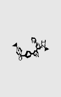 O=C(c1ccc(-c2cncc(-c3cc(NC4CC4)nc(-c4ccccn4)c3)c2)cc1)N1CCN(C2CC2)CC1